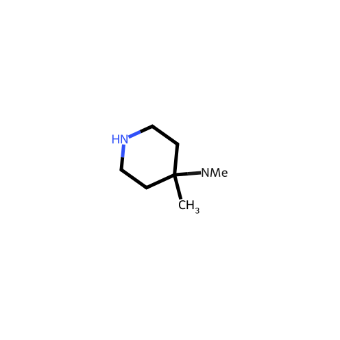 CNC1(C)CCNCC1